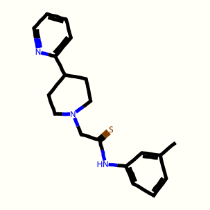 Cc1cccc(NC(=S)CN2CCC(c3ccccn3)CC2)c1